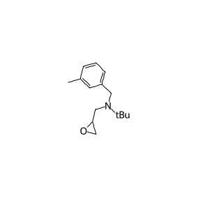 Cc1cccc(CN(CC2CO2)C(C)(C)C)c1